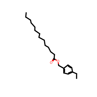 CCCCCCCCCCCCCC(=O)OCc1ccc(CC)cc1